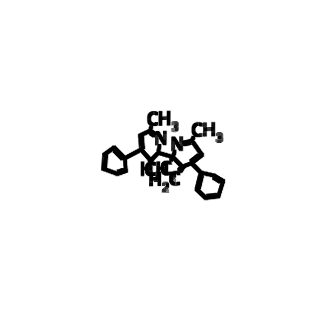 C=C1C(c2ccccc2)=CC(C)=NC1C1(C)N=C(C)C=C(c2ccccc2)C1=C